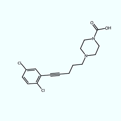 O=C(O)N1CCN(CCCC#Cc2cc(Cl)ccc2Cl)CC1